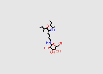 CCCC(C)N[C@@H](CCCCNC1OC(CO)C(O)C(O)C1O)C(=O)C(C)CC